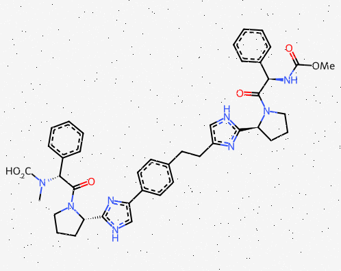 COC(=O)N[C@@H](C(=O)N1CCC[C@H]1c1nc(CCc2ccc(-c3c[nH]c([C@@H]4CCCN4C(=O)[C@@H](c4ccccc4)N(C)C(=O)O)n3)cc2)c[nH]1)c1ccccc1